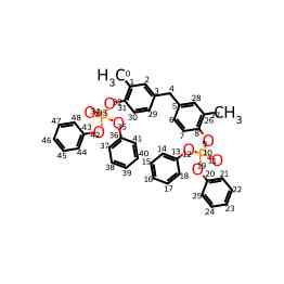 Cc1cc(Cc2ccc(OP(=O)(Oc3ccccc3)Oc3ccccc3)c(C)c2)ccc1OP(=O)(Oc1ccccc1)Oc1ccccc1